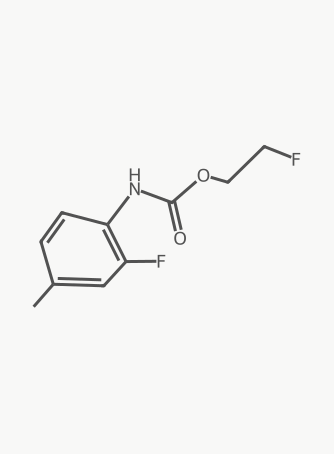 Cc1ccc(NC(=O)OCCF)c(F)c1